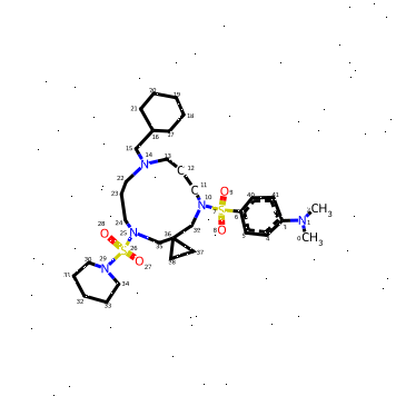 CN(C)c1ccc(S(=O)(=O)N2CCCN(CC3CCCCC3)CCCN(S(=O)(=O)N3CCCCC3)CC3(CC3)C2)cc1